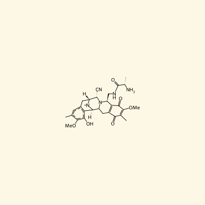 COC1=C(C)C(=O)C2=C(C1=O)[C@H](CNC(=O)[C@H](C)N)N1C(C2)[C@H]2c3c(cc(C)c(OC)c3O)C[C@H]([C@@H]1C#N)N2C